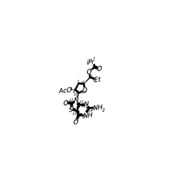 CCC(OC(=O)C(C)C)[C@@H]1C[C@@H](OC(C)=O)[C@H](n2c(=O)sc3c(=O)[nH]c(N)nc32)O1